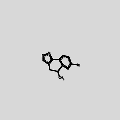 CC1Cn2cnnc2-c2ccc(Br)cc21